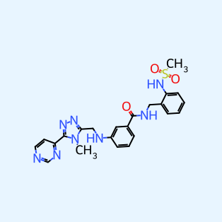 Cn1c(CNc2cccc(C(=O)NCc3ccccc3NS(C)(=O)=O)c2)nnc1-c1ccncn1